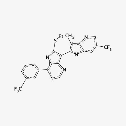 CCSc1nn2c(-c3cccc(C(F)(F)F)c3)ccnc2c1-c1nc2cc(C(F)(F)F)cnc2n1C